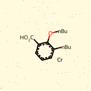 CCCCOc1c(CCCC)cccc1C(=O)O.[Cr]